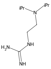 CC(C)N(CCNC(=N)N)C(C)C